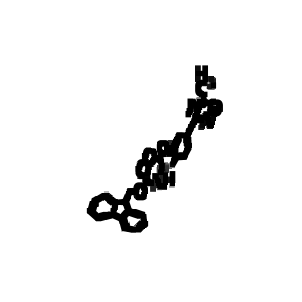 Cc1nc(-c2ccc(C[C@H](NC(=O)OCC3c4ccccc4-c4ccccc43)C(=O)O)cc2)no1